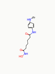 CC(C)Nc1ccc(NC(=O)CCCCCC(=O)NO)cc1